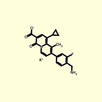 Cc1c(-c2ccc(CN)c(F)c2)ccn2c(=O)c(C(=O)[O-])cc(C3CC3)c12.[K+]